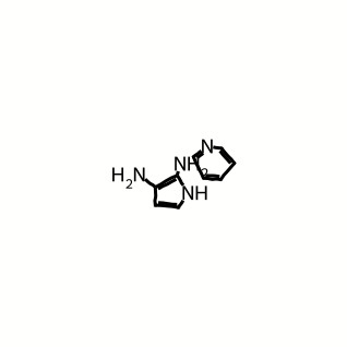 Nc1cc[nH]c1N.c1ccncc1